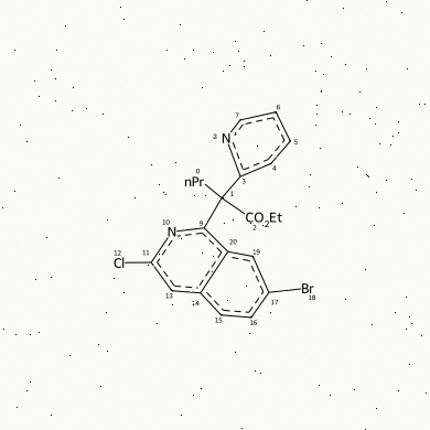 CCCC(C(=O)OCC)(c1ccccn1)c1nc(Cl)cc2ccc(Br)cc12